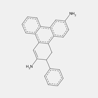 NC1=Cc2c(c3ccc(N)cc3c3ccccc23)CC1c1ccccc1